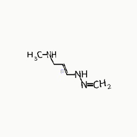 C=NN/C=C/CNC